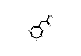 NC(=O)CC1=CN=CSC=C1